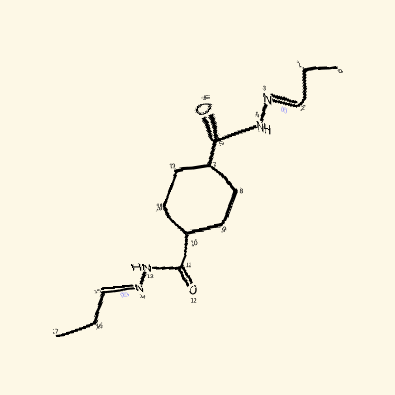 CC/C=N/NC(=O)C1CCC(C(=O)N/N=C/CC)CC1